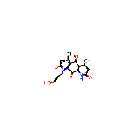 Cc1cc(=O)[nH]c2c1C(=O)c1c(C)cc(=O)n(C/C=C/O)c1C2=O